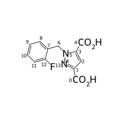 O=C(O)c1cc(C(=O)O)n(Cc2ccccc2F)n1